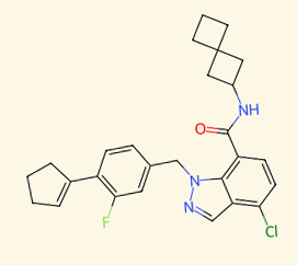 O=C(NC1CC2(CCC2)C1)c1ccc(Cl)c2cnn(Cc3ccc(C4=CCCC4)c(F)c3)c12